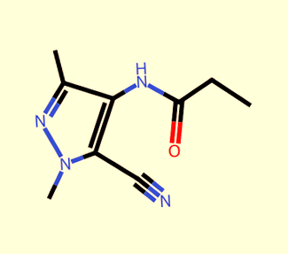 CCC(=O)Nc1c(C)nn(C)c1C#N